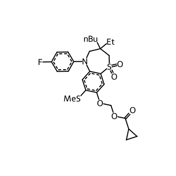 CCCCC1(CC)CN(c2ccc(F)cc2)c2cc(SC)c(OCOC(=O)C3CC3)cc2S(=O)(=O)C1